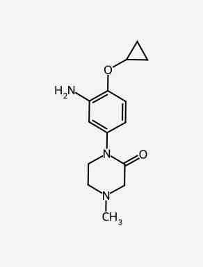 CN1CCN(c2ccc(OC3CC3)c(N)c2)C(=O)C1